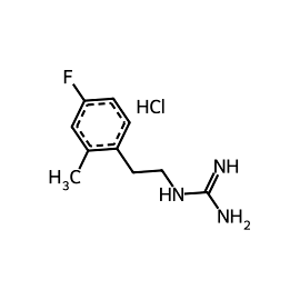 Cc1cc(F)ccc1CCNC(=N)N.Cl